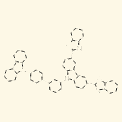 c1cc(-c2ccc(-n3c4ccccc4c4ccccc43)cc2)cc(-n2c3ccc(-c4nc5ccccc5o4)cc3c3cc(-c4nc5ccccc5o4)ccc32)c1